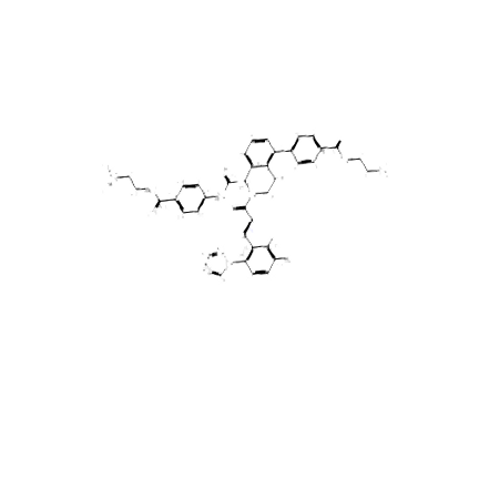 CN(C)CCNC(=O)c1ccc(-c2cccc3c2CCN(C(=O)/C=C/c2c(-n4cnnn4)ccc(Cl)c2F)[C@H]3C(=O)Nc2ccc(C(=O)OCCN(C)C)cc2)cc1